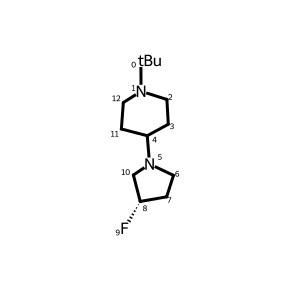 CC(C)(C)N1CCC(N2CC[C@H](F)C2)CC1